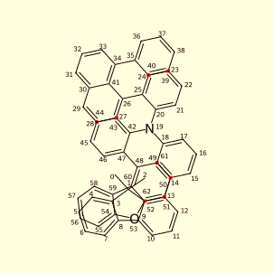 CC1(C)c2ccccc2-c2cccc(-c3cccc(N(c4ccccc4-c4cccc5cccc(-c6ccccc6)c45)c4ccccc4-c4cccc5oc6ccccc6c45)c3)c21